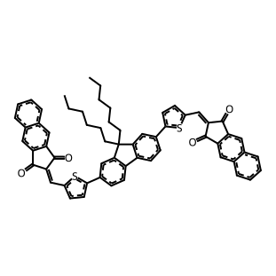 CCCCCCC1(CCCCCC)c2cc(-c3ccc(C=C4C(=O)c5cc6ccccc6cc5C4=O)s3)ccc2-c2ccc(-c3ccc(C=C4C(=O)c5cc6ccccc6cc5C4=O)s3)cc21